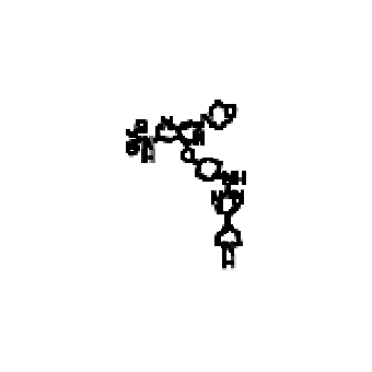 CS(=O)(=O)Nc1cnc2cc(N3CCOCC3)nc(OC3CCC(Nc4ncc(C5=CCNCC5)cn4)CC3)c2c1